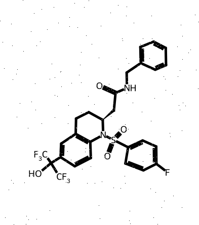 O=C(C[C@@H]1CCc2cc(C(O)(C(F)(F)F)C(F)(F)F)ccc2N1S(=O)(=O)c1ccc(F)cc1)NCc1ccccc1